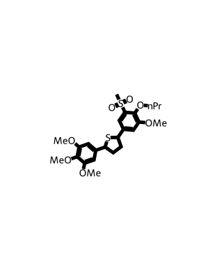 CCCOc1c(OC)cc(C2CCC(c3cc(OC)c(OC)c(OC)c3)S2)cc1S(C)(=O)=O